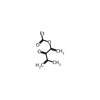 C=C(C)C(=O)C(=C)OC(=O)CC